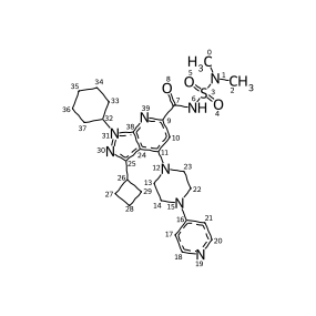 CN(C)S(=O)(=O)NC(=O)c1cc(N2CCN(c3ccncc3)CC2)c2c(C3CCC3)nn(C3CCCCC3)c2n1